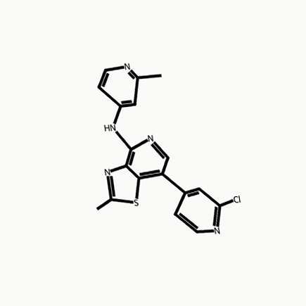 Cc1cc(Nc2ncc(-c3ccnc(Cl)c3)c3sc(C)nc23)ccn1